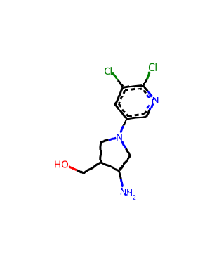 NC1CN(c2cnc(Cl)c(Cl)c2)CC1CO